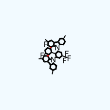 Cc1ccc2c(c1)c1cc(C)ccc1n2-c1cc(C(F)(F)F)cc(-n2c3ccc(C)cc3c3cc(C)ccc32)c1-c1cc(F)cc(F)c1